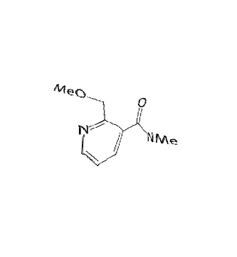 CNC(=O)c1cccnc1COC